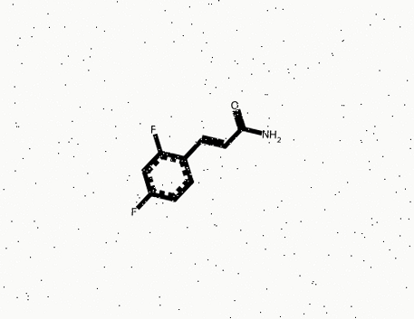 NC(=O)C=Cc1ccc(F)cc1F